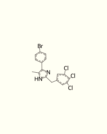 Cc1[nH]c(Cc2cc(Cl)c(Cl)c(Cl)c2)nc1-c1ccc(Br)cc1